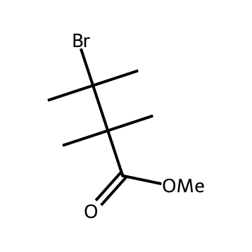 COC(=O)C(C)(C)C(C)(C)Br